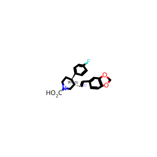 O=C(O)N1CC[C@@H](c2ccc(F)cc2)[C@H](/C=C/c2ccc3c(c2)OCO3)C1